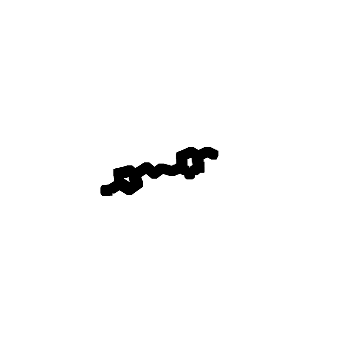 CCC1=NOC(CCCCc2ccc(Cl)cc2)=CC1